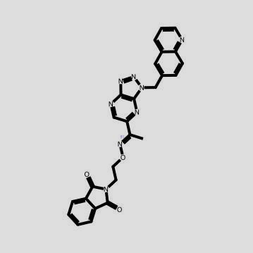 C/C(=N\OCCN1C(=O)c2ccccc2C1=O)c1cnc2nnn(Cc3ccc4ncccc4c3)c2n1